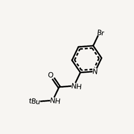 CC(C)(C)NC(=O)Nc1ccc(Br)cn1